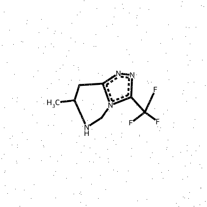 CC1Cc2nnc(C(F)(F)F)n2CN1